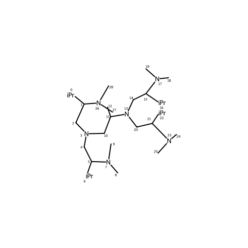 CC(C)C(CN(CC(C(C)C)N(C)C)CC(C)N(CC(C(C)C)N(C)C)CC(C(C)C)N(C)C)N(C)C